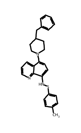 Cc1ccc(SNc2ccc(N3CCC(Cc4ccccc4)CC3)c3cccnc23)cc1